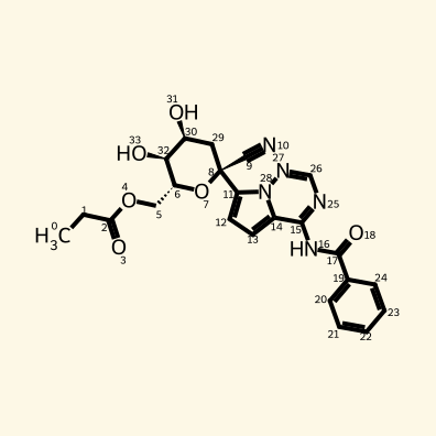 CCC(=O)OC[C@H]1O[C@@](C#N)(c2ccc3c(NC(=O)c4ccccc4)ncnn23)C[C@H](O)[C@@H]1O